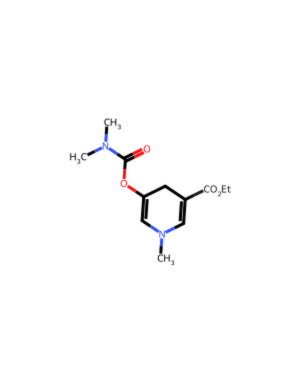 CCOC(=O)C1=CN(C)C=C(OC(=O)N(C)C)C1